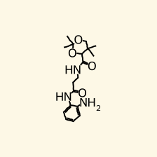 CC1(C)OCC(C)(C)C(C(=O)NCCC(=O)Nc2ccccc2N)O1